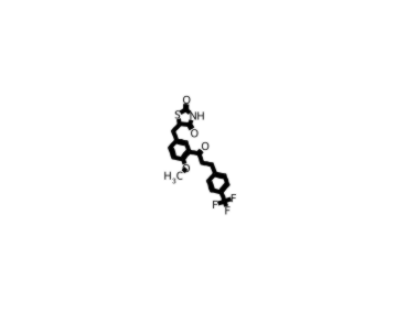 COc1ccc(CC2SC(=O)NC2=O)cc1C(=O)CCc1ccc(C(F)(F)F)cc1